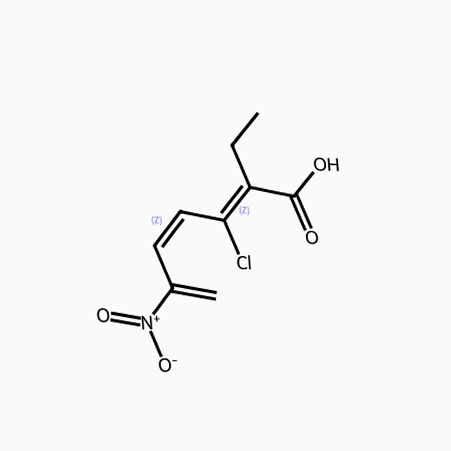 C=C(/C=C\C(Cl)=C(/CC)C(=O)O)[N+](=O)[O-]